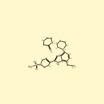 CS(=O)(=O)N1CC=C(c2cc3c(N4CCC[C@@H](N5CCCCC5=O)C4)ccc(CN)c3[nH]2)CC1